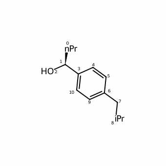 CCC[C@H](O)c1ccc(CC(C)C)cc1